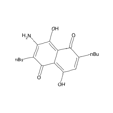 CCCCC1=CC(O)=C2C(=O)C(CCCC)=C(N)C(O)=C2C1=O